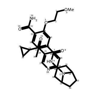 COCCOc1cc(C(=O)NC2CC3CCC(C2)N3c2ccc(C(=O)C3CC3)cn2)c(C)cc1C(N)=O